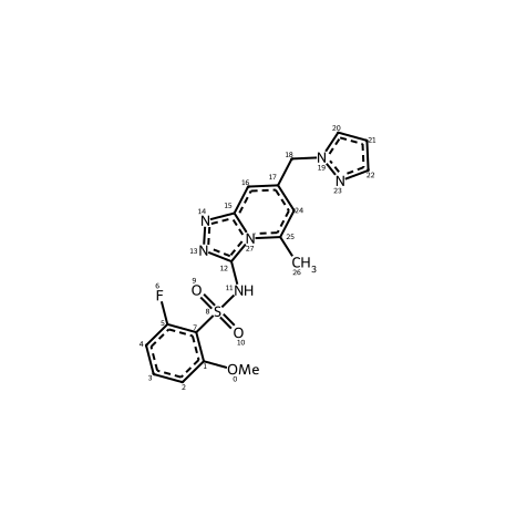 COc1cccc(F)c1S(=O)(=O)Nc1nnc2cc(Cn3cccn3)cc(C)n12